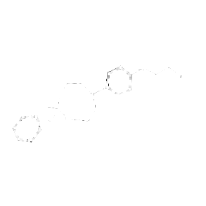 CCCCCCCCCCCCOc1ccc(N2CCO[P](O)(Oc3ccccc3)OCC2)cc1